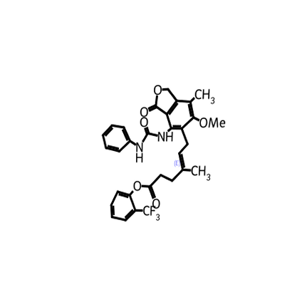 COc1c(C)c2c(c(NC(=O)Nc3ccccc3)c1C/C=C(\C)CCC(=O)Oc1ccccc1C(F)(F)F)C(=O)OC2